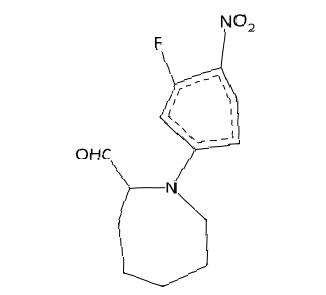 O=CC1CCCCCN1c1ccc([N+](=O)[O-])c(F)c1